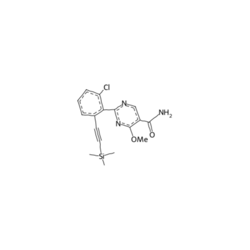 COc1nc(-c2c(Cl)cccc2C#C[Si](C)(C)C)ncc1C(N)=O